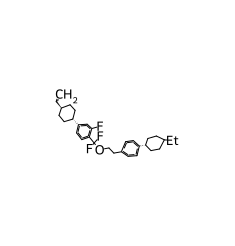 C=C[C@H]1CC[C@H](c2ccc(C(F)(F)OCCc3ccc([C@H]4CC[C@H](CC)CC4)cc3)c(F)c2)CC1